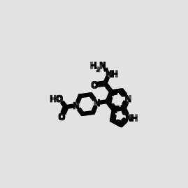 NNC(=O)c1cnc2[nH]ccc2c1N1CCN(C(=O)O)CC1